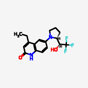 CCc1cc(=O)[nH]c2ccc(N3CCC[C@@H]3[C@@H](O)C(F)(F)F)cc12